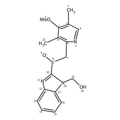 COc1c(C)cnc(C[S+]([O-])c2nc3ccccc3n2CO)c1C